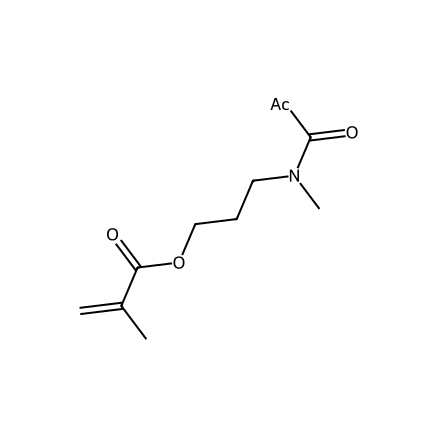 C=C(C)C(=O)OCCCN(C)C(=O)C(C)=O